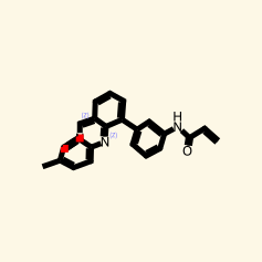 C=CC(=O)Nc1cccc(C2=CC=CC(=C/N=C)/C2=N\c2ccc(C)cc2)c1